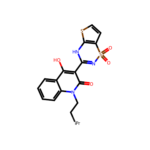 CC(C)CCn1c(=O)c(C2=NS(=O)(=O)c3ccsc3N2)c(O)c2ccccc21